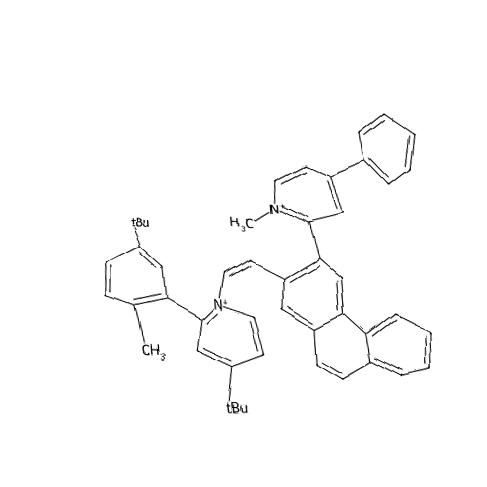 Cc1ccc(C(C)(C)C)cc1-c1cc(C(C)(C)C)cc[n+]1/C=C\c1cc2ccc3ccccc3c2cc1-c1cc(-c2ccccc2)cc[n+]1C